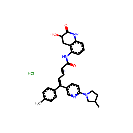 CC1CCN(c2ccc(/C(=C\C=C\C(=O)Nc3cccc4c3CC(O)C(=O)N4)c3ccc(C(F)(F)F)cc3)cn2)C1.Cl